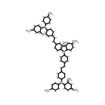 CC1CCC(N(C2CCC(CCC3CCC(N4C5CCC(C)CC5[C@]5(C)CC(CCC6CCC(N(C7CCC(C)CC7)C7CCC(C)CC7C)CC6)CCC45)CC3)CC2)C2CCC(C)CC2C)CC1